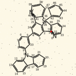 N#Cc1cc(-c2cccc(-n3c4ccccc4c4ccccc43)c2)cc(C#N)c1[Si](c1ccccc1)(c1ccccc1)c1ccccc1